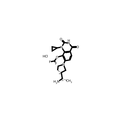 C[C@H](N)[C@@H]1CCN(c2ccc3c(=O)[nH]c(=O)n(C4CC4)c3c2OC(F)F)C1.Cl